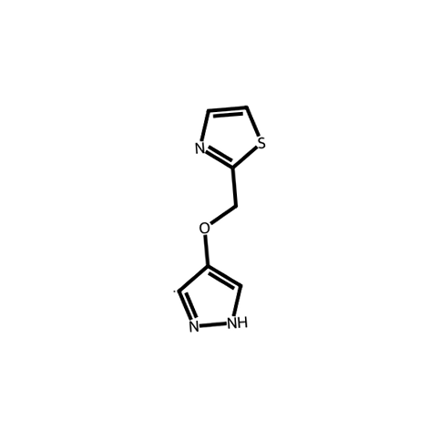 [c]1n[nH]cc1OCc1nccs1